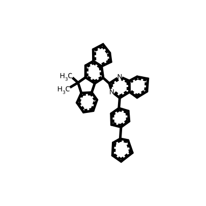 CC1(C)c2ccccc2-c2c1cc1ccccc1c2-c1nc(-c2ccc(-c3ccccc3)cc2)c2ccccc2n1